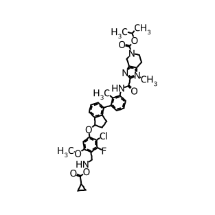 COc1cc(OC2CCc3c(-c4cccc(NC(=O)c5nc6c(n5C)CCN(C(=O)OC(C)C)C6)c4C)cccc32)c(Cl)c(F)c1CNOC(=O)C1CC1